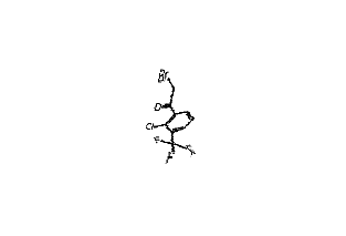 O=C(CBr)c1cccc(C(F)(F)F)c1Cl